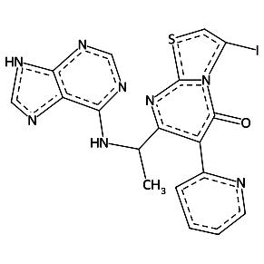 CC(Nc1ncnc2[nH]cnc12)c1nc2scc(I)n2c(=O)c1-c1ccccn1